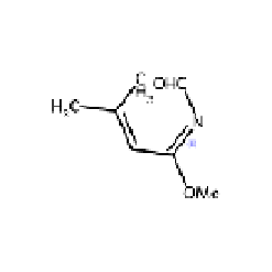 CO/C(C=C(C)C)=N/C=O